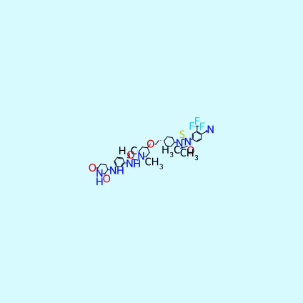 C[C@@H]1CC(OCC[C@H]2CC[C@H](N3C(=S)N(c4ccc(C#N)c(C(F)(F)F)c4)C(=O)C3(C)C)CC2)C[C@H](C)N1CC(=O)Nc1cccc(NC2CCC(=O)NC2=O)c1